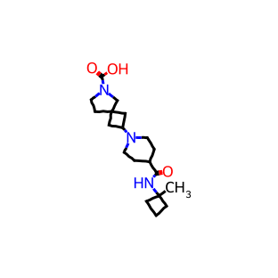 CC1(NC(=O)C2CCN(C3CC4(CCN(C(=O)O)C4)C3)CC2)CCC1